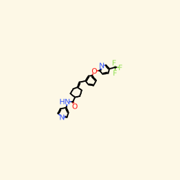 O=C(Nc1ccncc1)C1CCC(=Cc2cccc(Oc3ccc(C(F)(F)F)cn3)c2)CC1